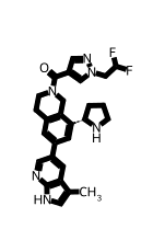 Cc1c[nH]c2ncc(-c3cc4c(c([C@@H]5CCCN5)c3)CN(C(=O)c3cnn(CC(F)F)c3)CC4)cc12